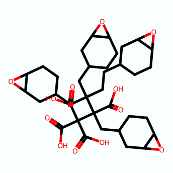 O=C(O)C(C(=O)O)(C(=O)O)C(CC1CCC2OC2C1)(C(=O)O)C(CCC1CCC2OC2C1)(CC1CCC2OC2C1)CC1CCC2OC2C1